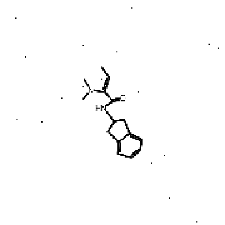 CC=C(C(=O)NC1Cc2ccccc2C1)N(C)C